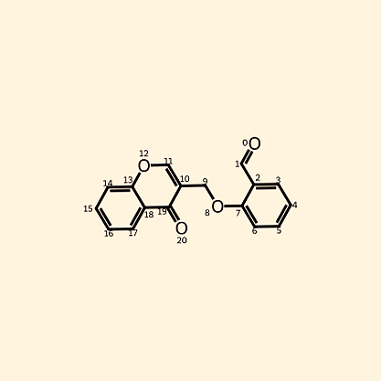 O=Cc1ccccc1OCc1coc2ccccc2c1=O